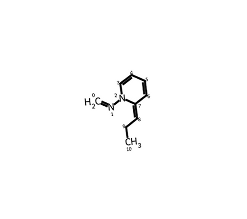 C=NN1C=CC=C/C1=C/CC